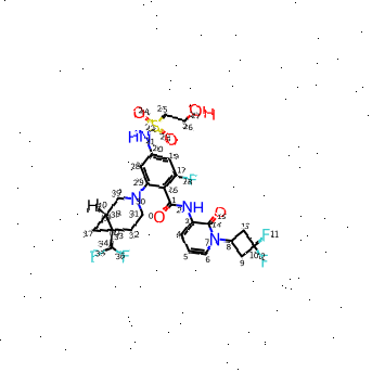 O=C(Nc1cccn(C2CC(F)(F)C2)c1=O)c1c(F)cc(NS(=O)(=O)CCO)cc1N1CC[C@]2(C(F)F)C[C@@H]2C1